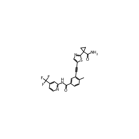 Cc1ccc(C(=O)Nc2cc(C(F)(F)F)ccn2)cc1C#Cc1cnc(C2(C(N)=O)CC2)s1